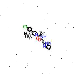 CC(C)[C@@H](NC(=O)CCc1nc2ccccc2[nH]1)C(=O)N1CCC(c2ccc(Cl)cc2)C(C)(C)C1